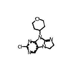 Clc1ncc2c(n1)N(C1CCOCC1)C1=NCCN12